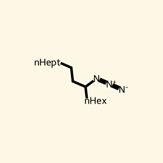 CCCCCCCCCC(CCCCCC)N=[N+]=[N-]